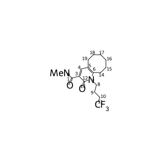 CNC(=O)c1cc2c(n(CCCC(F)(F)F)c1=O)CCCCCC2